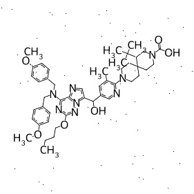 CCCCOc1nc(N(Cc2ccc(OC)cc2)Cc2ccc(OC)cc2)c2ncc(C(O)c3cnc(N4CCC5(CCN(C(=O)O)CC5C(C)(C)C)CC4)c(C)c3)n2n1